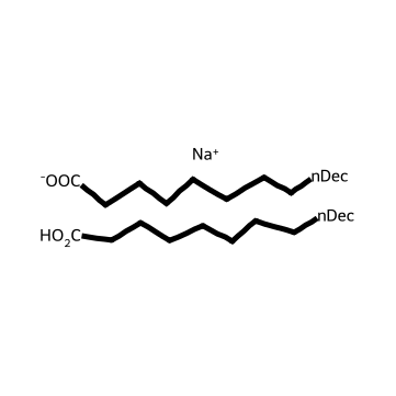 CCCCCCCCCCCCCCCCCC(=O)O.CCCCCCCCCCCCCCCCCC(=O)[O-].[Na+]